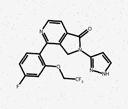 O=C1c2ccnc(-c3ccc(F)cc3OCC(F)(F)F)c2CN1c1cc[nH]n1